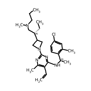 C=Cc1c(C)nc(N2CC([C@@H](CC)CN(C)CCC)C2)nc1N[C@H](C)c1ccc(Cl)cc1C